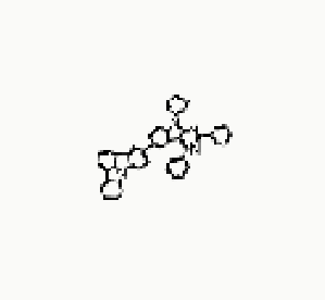 c1ccc(-c2nc(-c3ccccc3)c3c4cc(-c5ccc6c(c5)c5cccc7c8ccccc8n6c75)ccc4n(-c4ccccc4)c3n2)cc1